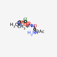 CC(=O)O/N=C(/N)c1ccc(C(=O)N2CCN(C(=O)C3CCCN3S(=O)(=O)c3ccc(Cl)c(COc4cccn5c(C)c(C)nc45)c3Cl)CC2)cc1